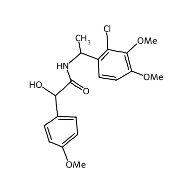 COc1ccc(C(O)C(=O)NC(C)c2ccc(OC)c(OC)c2Cl)cc1